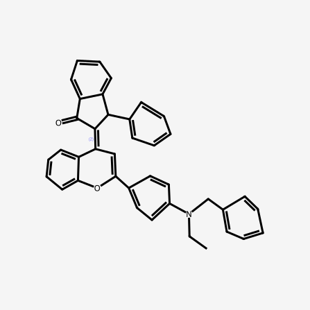 CCN(Cc1ccccc1)c1ccc(C2=C/C(=C3/C(=O)c4ccccc4C3c3ccccc3)c3ccccc3O2)cc1